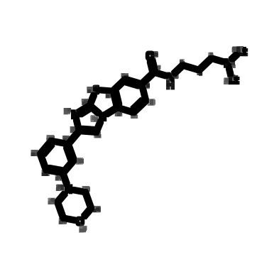 CCN(CC)CCCNC(=O)c1ccc2c(c1)sc1nc(-c3cccc(N4CCOCC4)c3)cn12